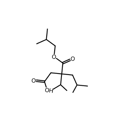 CC(C)COC(=O)C(CC(=O)O)(CC(C)C)C(C)C